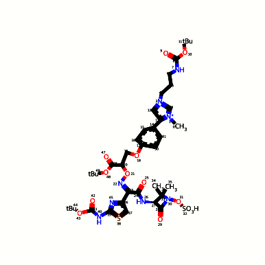 C[n+]1cn(CCCNC(=O)OC(C)(C)C)cc1-c1ccc(OCC(O/N=C(\C(=O)N[C@@H]2C(=O)N(OS(=O)(=O)O)C2(C)C)c2csc(NC(=O)OC(C)(C)C)n2)C(=O)OC(C)(C)C)cc1